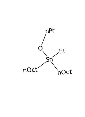 CCCCCCC[CH2][Sn]([CH2]C)([CH2]CCCCCCC)[O]CCC